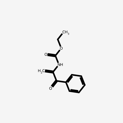 C=C(NC(=O)OCC)C(=O)c1ccccc1